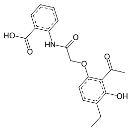 CCc1ccc(OCC(=O)Nc2ccccc2C(=O)O)c(C(C)=O)c1O